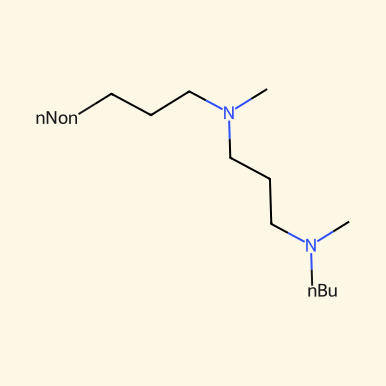 CCCCCCCCCCCCN(C)CCCN(C)CCCC